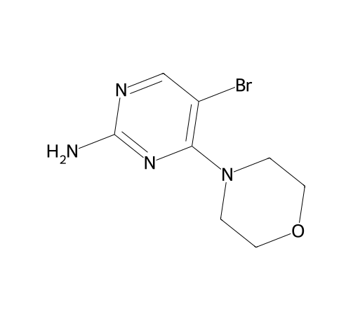 Nc1ncc(Br)c(N2CCOCC2)n1